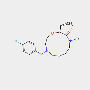 C=C[C@@H]1OCCN(Cc2ccc(F)cc2)CCCCN(CC)C1=O